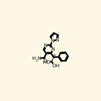 NC(=O)c1cnc(-n2cccn2)nc1[C@@H](c1ccccc1)C(O)O